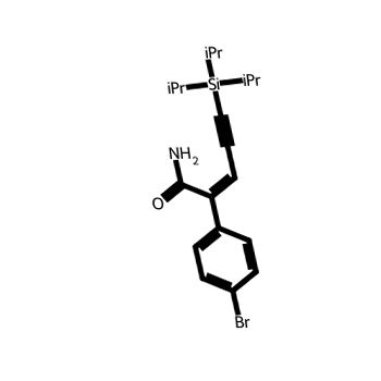 CC(C)[Si](C#C/C=C(\C(N)=O)c1ccc(Br)cc1)(C(C)C)C(C)C